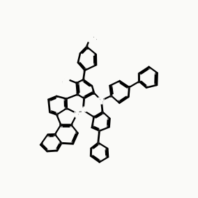 Cc1c(-c2ccc(C#N)cc2)cc2c3c1-c1cccc4c5c6ccccc6ccc5n(c14)B3c1cc(-c3ccccc3)ccc1N2c1ccc(-c2ccccc2)cc1